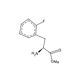 COC(=O)[C@@H](N)Cc1ccccc1F